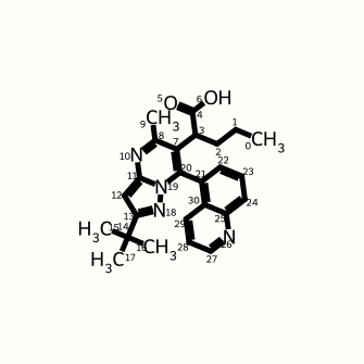 CCCC(C(=O)O)c1c(C)nc2cc(C(C)(C)C)nn2c1-c1cccc2ncccc12